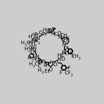 CCC[C@H]1C(=O)N[C@@H]([C@@H](C)CC)C(=O)N(C2CC2)CC(=O)N(C)[C@H]2C/C=C\CCN(C2=O)[C@@H](Cc2ccc(C)cc2)C(=O)N(C)CC(=O)N[C@@H](CCc2cc(F)c(C(F)(F)F)c(F)c2)C(=O)N2C[C@H](OCC)C[C@H]2C(=O)NC2(CC(C)(C)C2)C(=O)N(C)[C@@H](C2CCCC2)C(=O)N(C)[C@H](C(=O)N(C)C)CC(=O)N1C